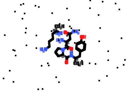 NC(=O)C[C@H](N)C(=O)N1CCC[C@H]1C(=O)N[C@@H](Cc1ccc(O)cc1)C(=O)O.NCCCC[C@@H](N)C(=O)O